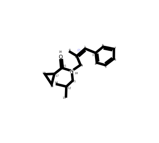 C/C(=C/c1ccccc1)CN(CC(C)C)C(=O)C1CC1